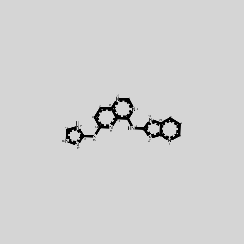 c1cnc2sc(Nc3ncnc4ccc(Sc5nnc[nH]5)nc34)nc2c1